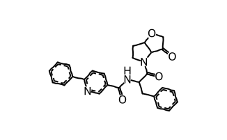 O=C(NC(Cc1ccccc1)C(=O)N1CCC2OCC(=O)C21)c1ccc(-c2ccccc2)nc1